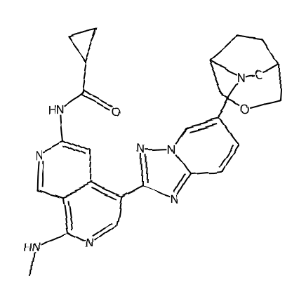 CNc1ncc(-c2nc3ccc(N4CC5CCC4COC5)cn3n2)c2cc(NC(=O)C3CC3)ncc12